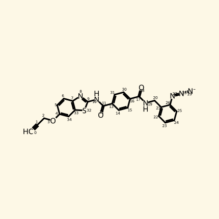 C#CCOc1ccc2nc(NC(=O)c3ccc(C(=O)NCc4ccccc4N=[N+]=[N-])cc3)sc2c1